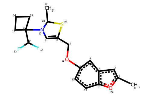 Cc1cc2cc(OCC3=CN(C4(C(F)F)CCC4)C(C)S3)ccc2o1